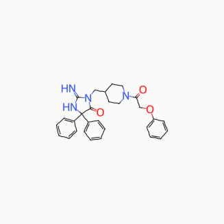 N=C1NC(c2ccccc2)(c2ccccc2)C(=O)N1CC1CCN(C(=O)COc2ccccc2)CC1